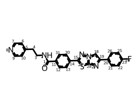 O=C(NCCc1ccncc1)c1ccc(-c2nn3cc(-c4ccc(F)cc4)nc3s2)cc1